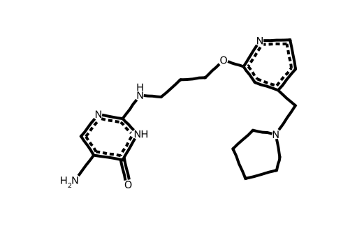 Nc1cnc(NCCCOc2cc(CN3CCCCC3)ccn2)[nH]c1=O